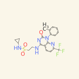 Cc1ccccc1-n1c(=O)nc(NCCS(=O)(=O)NC2CC2)c2ccc(C(F)(F)F)nc21